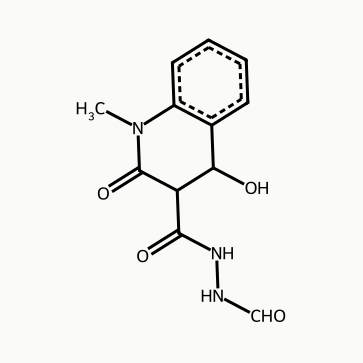 CN1C(=O)C(C(=O)NNC=O)C(O)c2ccccc21